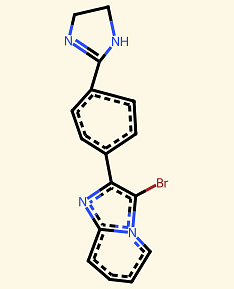 Brc1c(-c2ccc(C3=NCCN3)cc2)nc2ccccn12